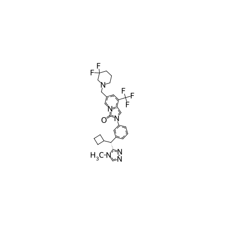 Cn1cnnc1[C@@H](c1cccc(-n2cc3c(C(F)(F)F)cc(CN4CCCC(F)(F)C4)cn3c2=O)c1)C1CCC1